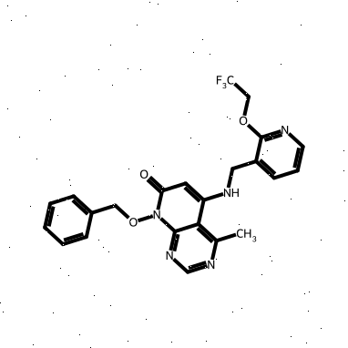 Cc1ncnc2c1c(NCc1cccnc1OCC(F)(F)F)cc(=O)n2OCc1ccccc1